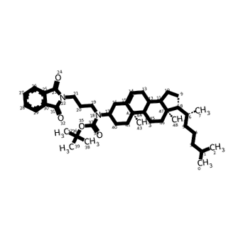 CC(C)CCC[C@@H](C)[C@H]1CCC2C3CC=C4CC(N(CCCN5C(=O)c6ccccc6C5=O)C(=O)OC(C)(C)C)CC[C@]4(C)C3CC[C@@]21C